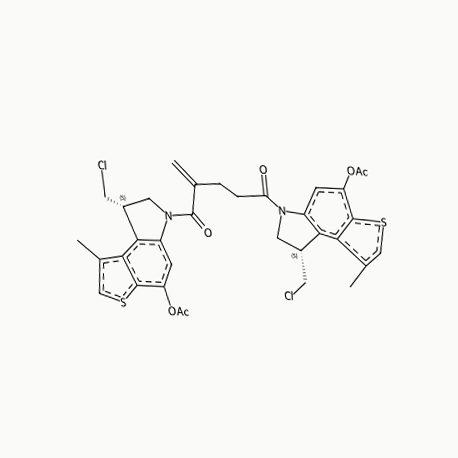 C=C(CCC(=O)N1C[C@@H](CCl)c2c1cc(OC(C)=O)c1scc(C)c21)C(=O)N1C[C@@H](CCl)c2c1cc(OC(C)=O)c1scc(C)c21